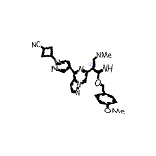 CN/C=C(\C(=N)OCc1ccc(OC)cc1)c1cn2nccc2c(-c2cnn(C3CC(C#N)C3)c2)n1